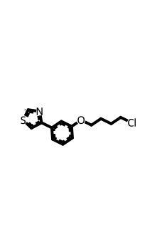 ClCCCCOc1cccc(-c2cs[c]n2)c1